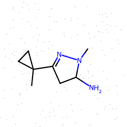 CN1N=C(C2(C)CC2)CC1N